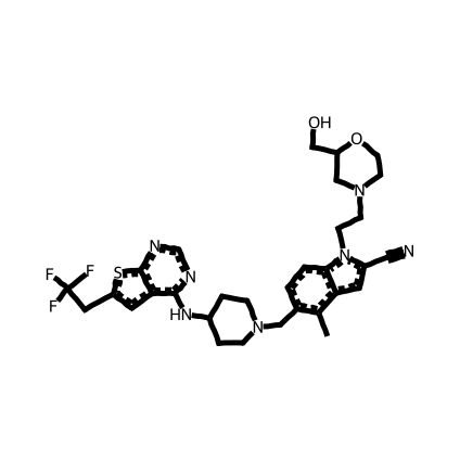 Cc1c(CN2CCC(Nc3ncnc4sc(CC(F)(F)F)cc34)CC2)ccc2c1cc(C#N)n2CCN1CCOC(CO)C1